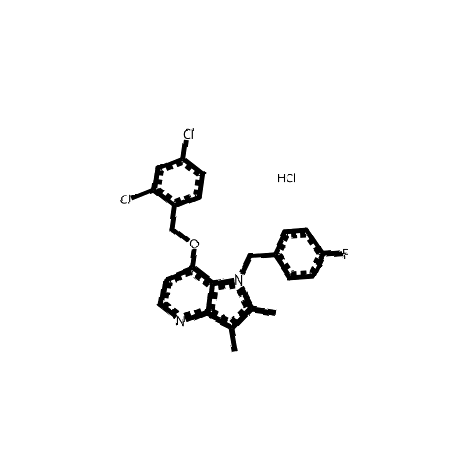 Cc1c(C)n(Cc2ccc(F)cc2)c2c(OCc3ccc(Cl)cc3Cl)ccnc12.Cl